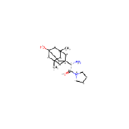 CC12CC3(C)CC(O)(C1)CC([C@H](N)C(=O)N1CCCC1)(C2)C3